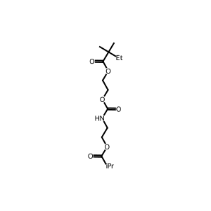 CCC(C)(C)C(=O)OCCOC(=O)NCCOC(=O)C(C)C